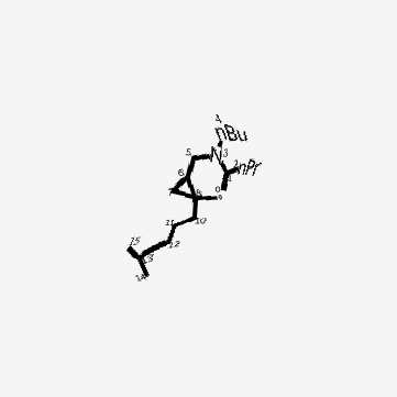 C=C(CCC)N(CCCC)CC1CC1(C)CCC=C(C)C